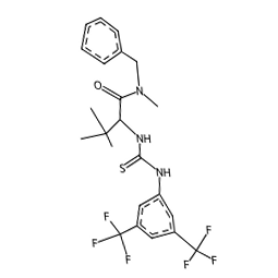 CN(Cc1ccccc1)C(=O)C(NC(=S)Nc1cc(C(F)(F)F)cc(C(F)(F)F)c1)C(C)(C)C